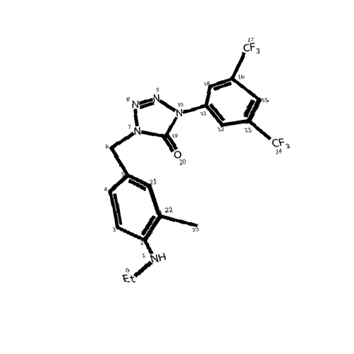 CCNc1ccc(Cn2nnn(-c3cc(C(F)(F)F)cc(C(F)(F)F)c3)c2=O)cc1C